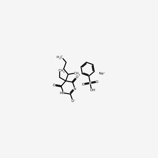 CCCC(C)C1(CC)C(=O)N=C([O-])NC1=O.O=S(=O)(O)c1ccccc1.[Na+]